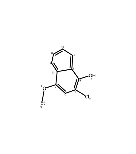 CCOc1cc(Cl)c(O)c2ccccc12